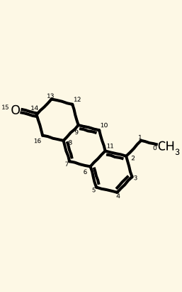 CCc1cccc2cc3c(cc12)CCC(=O)C3